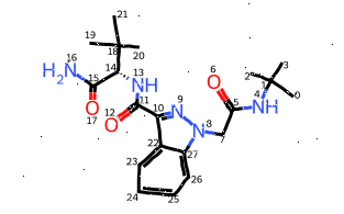 CC(C)(C)NC(=O)Cn1nc(C(=O)N[C@H](C(N)=O)C(C)(C)C)c2ccccc21